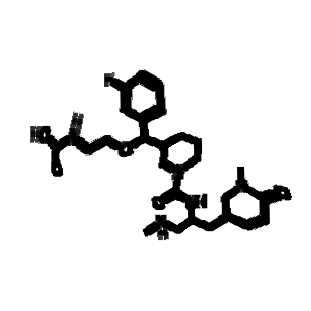 CNCC(CC1CCC(=O)N(C)C1)NC(=O)N1CCCC(C(OCCNC(=O)O)c2cccc(F)c2)C1